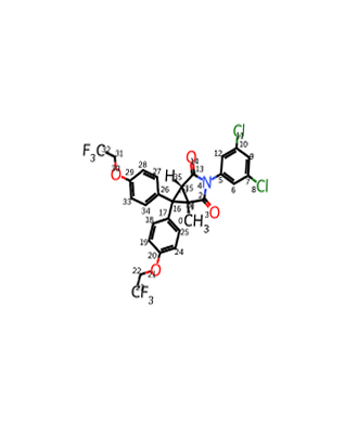 C[C@]12C(=O)N(c3cc(Cl)cc(Cl)c3)C(=O)[C@H]1C2(c1ccc(OCC(F)(F)F)cc1)c1ccc(OCC(F)(F)F)cc1